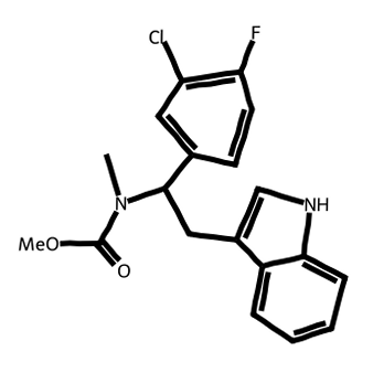 COC(=O)N(C)C(Cc1c[nH]c2ccccc12)c1ccc(F)c(Cl)c1